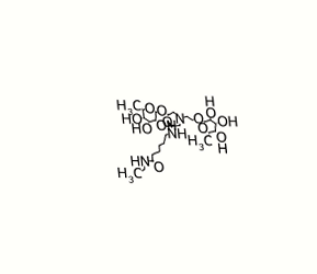 CCNC(=O)CCCCCNC(=O)CN(CCO[C@@H]1O[C@@H](C)[C@@H](O)[C@@H](O)[C@@H]1O)CCO[C@@H]1O[C@@H](C)[C@@H](O)[C@@H](O)[C@@H]1O